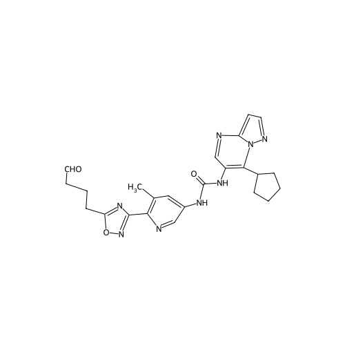 Cc1cc(NC(=O)Nc2cnc3ccnn3c2C2CCCC2)cnc1-c1noc(CCCC=O)n1